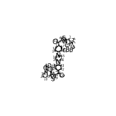 CC(C)(C)OC(=O)N1CCCC1c1nc(C(=O)c2ccc(N3CCN(c4ccc(C(=O)c5csc([C@@H]6CCCN6C(=O)OC(C)(C)C)n5)cc4)CC3)cc2)cs1